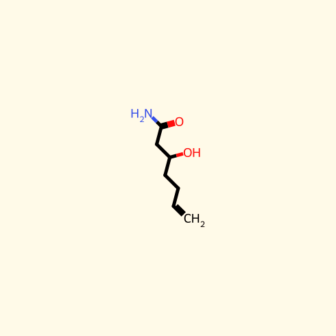 C=CCCC(O)CC(N)=O